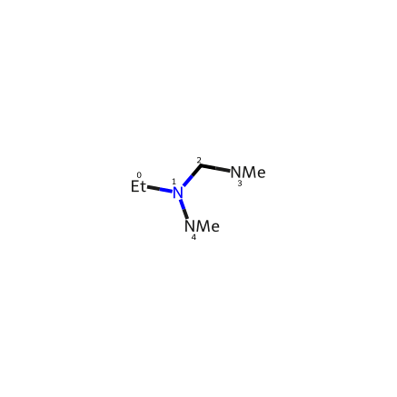 CCN(CNC)NC